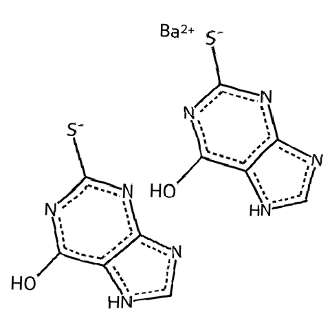 Oc1nc([S-])nc2nc[nH]c12.Oc1nc([S-])nc2nc[nH]c12.[Ba+2]